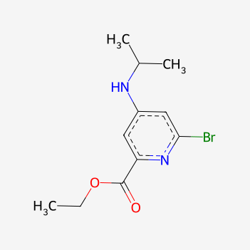 CCOC(=O)c1cc(NC(C)C)cc(Br)n1